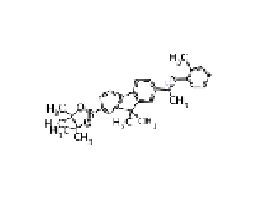 C/C(=N\c1ccccc1C)c1ccc2c(c1)C(C)(C)c1cc(B3OC(C)(C)C(C)(C)O3)ccc1-2